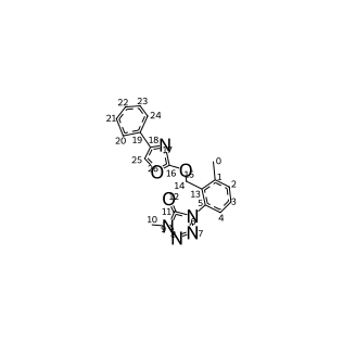 Cc1cccc(-n2nnn(C)c2=O)c1COc1nc(-c2ccccc2)co1